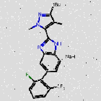 Cc1c(C(C)(C)C)nn(C)c1-c1nc2cc(-c3c(F)cccc3C(F)(F)F)ccc2[nH]1.[NaH]